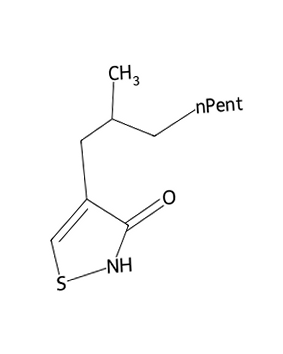 CCCCCCC(C)Cc1cs[nH]c1=O